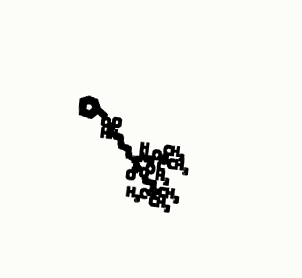 CC(C)(C)OC(=O)N[C@@H](CCCCNC(=O)OCc1ccccc1)C(=O)OCCS(C)(C)C